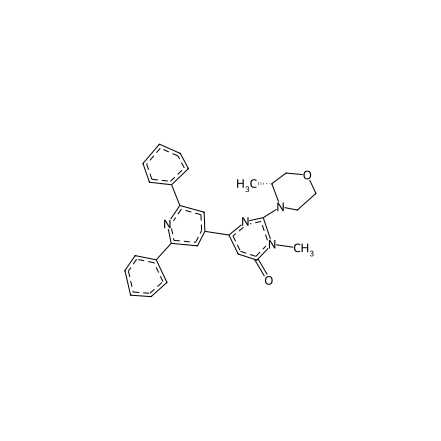 C[C@@H]1COCCN1c1nc(-c2cc(-c3ccccc3)nc(-c3ccccc3)c2)cc(=O)n1C